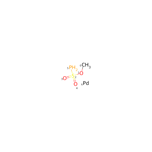 COS(=O)(=O)P.[Pd]